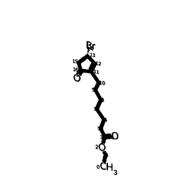 CCOC(=O)CCCCCCC1=C[C@@H](Br)CC1=O